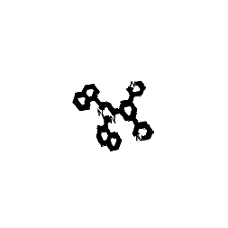 c1cncc(-c2cc(-c3cccnc3)cc(-c3cc(-c4cccc5ccccc45)nc(-c4cccc5ccccc45)n3)c2)c1